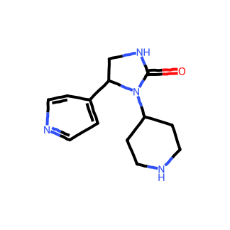 O=C1NCC(c2ccncc2)N1C1CCNCC1